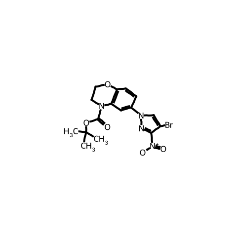 CC(C)(C)OC(=O)N1CCOc2ccc(-n3cc(Br)c([N+](=O)[O-])n3)cc21